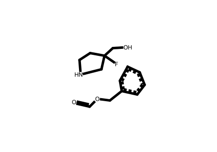 O=COCc1ccccc1.OCC1(F)CCNC1